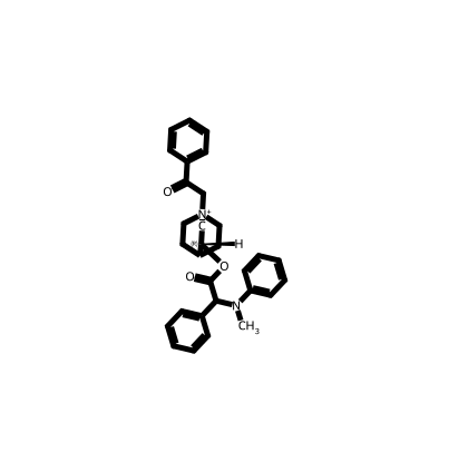 CN(c1ccccc1)C(C(=O)O[C@H]1C[N+]2(CC(=O)c3ccccc3)CCC1CC2)c1ccccc1